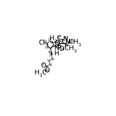 COC(=O)CCCC#Cc1cc(Cl)ccc1NS(=O)(=O)c1c(C)nn(C)c1C